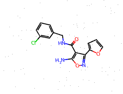 Nc1onc(-c2ccco2)c1C(=O)NCc1cccc(Cl)c1